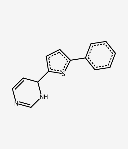 C1=CC(c2ccc(-c3ccccc3)s2)NC=N1